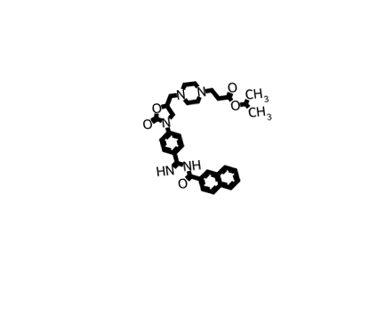 CC(C)OC(=O)CCN1CCN(CC2CN(c3ccc(C(=N)NC(=O)c4ccc5ccccc5c4)cc3)C(=O)O2)CC1